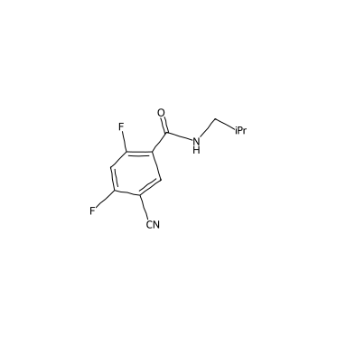 CC(C)CNC(=O)c1cc(C#N)c(F)cc1F